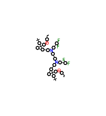 C=Cc1ccc(Oc2ccc(C3(c4ccc(C(C)(C)C)cc4)c4ccccc4-c4ccc(-c5ccc(N(c6ccc(-c7ccc(N(c8ccc(-c9ccc%10c(c9)C(c9ccc(Oc%11ccc(C=C)cc%11)cc9)(c9ccc(C(C)(C)C)cc9)c9ccccc9-%10)cc8)c8ccc(-c9ccc(F)cc9F)cc8)cc7)cc6)c6ccc(-c7ccc(F)cc7F)cc6)cc5)cc43)cc2)cc1